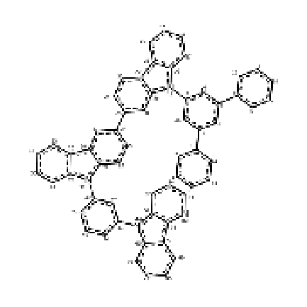 c1ccc(-c2cc(-c3ccccc3)nc(-n3c4ccccc4c4ccc(-c5ccc6c(c5)c5ccccc5n6-c5cccc(-n6c7ccccc7c7ncccc76)c5)cc43)c2)cc1